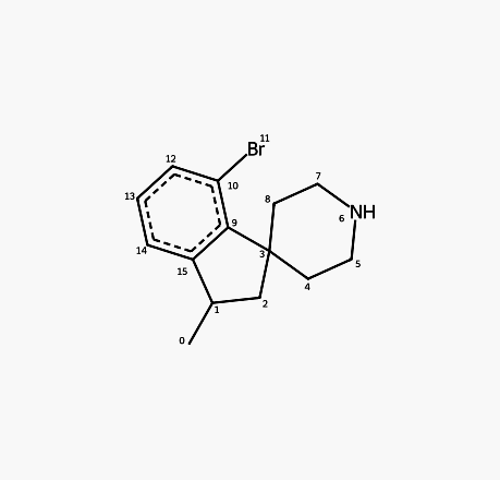 CC1CC2(CCNCC2)c2c(Br)cccc21